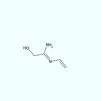 C=C/N=C(\N)CO